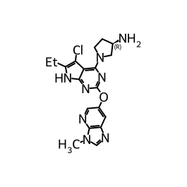 CCc1[nH]c2nc(Oc3cnc4c(c3)ncn4C)nc(N3CC[C@@H](N)C3)c2c1Cl